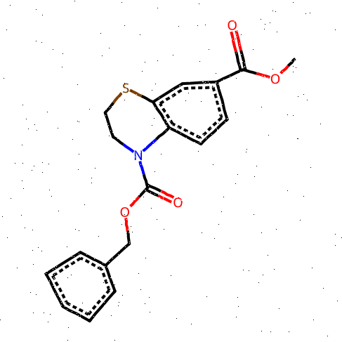 COC(=O)c1ccc2c(c1)SCCN2C(=O)OCc1ccccc1